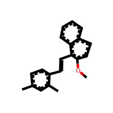 COc1ccc2ccccc2c1C=Cc1ccc(C)cc1C